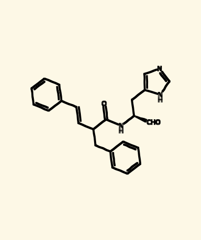 O=C[C@H](Cc1cnc[nH]1)NC(=O)C(C=Cc1ccccc1)Cc1ccccc1